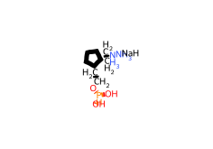 C1CCCC1.C=C.C=C.N.N.O=[PH](O)O.[NaH]